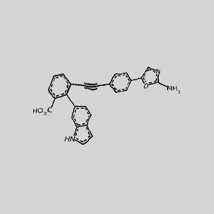 Nc1ncc(-c2ccc(C#Cc3cccc(C(=O)O)c3-c3ccc4cc[nH]c4c3)cc2)o1